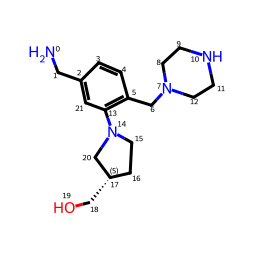 NCc1ccc(CN2CCNCC2)c(N2CC[C@H](CO)C2)c1